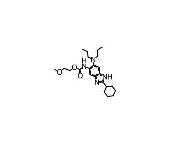 CCCN(CCC)c1cc2[nH]c(C3CCCCC3)nc2cc1NC(=O)OCCOC